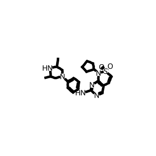 CC1CN(c2ccc(Nc3ncc4c(n3)N(C3CCCC3)S(=O)(=O)C=C4)cc2)CC(C)N1